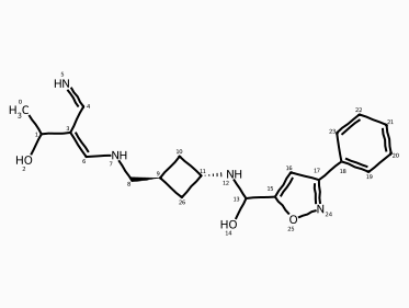 CC(O)/C(C=N)=C/NC[C@H]1C[C@H](NC(O)c2cc(-c3ccccc3)no2)C1